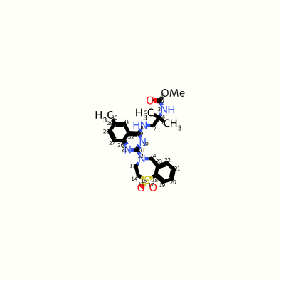 COC(=O)NC(C)(C)CNc1nc(N2CCS(=O)(=O)c3ccccc3C2)nc2ccc(C)cc12